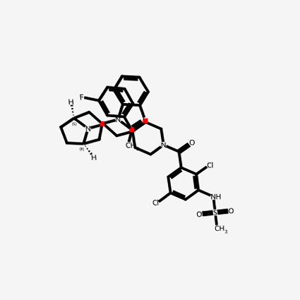 Cc1nc2ccccc2n1C1C[C@H]2CC[C@@H](C1)N2CCC1(c2cccc(F)c2)CCN(C(=O)c2cc(Cl)cc(NS(C)(=O)=O)c2Cl)CC1